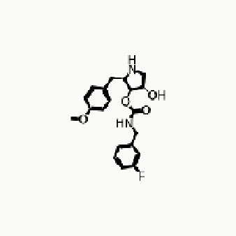 COc1ccc(C[C@H]2NC[C@H](O)[C@H]2OC(=O)NCc2cccc(F)c2)cc1